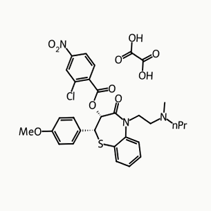 CCCN(C)CCN1C(=O)[C@@H](OC(=O)c2ccc([N+](=O)[O-])cc2Cl)[C@@H](c2ccc(OC)cc2)Sc2ccccc21.O=C(O)C(=O)O